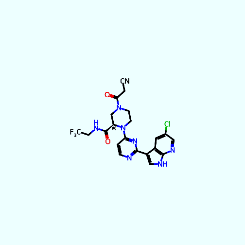 N#CCC(=O)N1CCN(c2ccnc(-c3c[nH]c4ncc(Cl)cc34)n2)[C@@H](C(=O)NCC(F)(F)F)C1